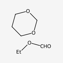 C1COCOC1.CCOC=O